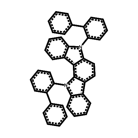 c1ccc(-c2ccccc2-n2c3ccccc3c3c2ccc2c4ccccc4n(-c4ccccc4-c4ccccc4)c23)cc1